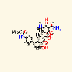 COC(=O)Nc1ccc(-c2ccc(O)c3c2C[C@@H]2C[C@@H]4[C@@H](N(C)C)C(O)=C(C(N)=O)C(=O)[C@]4(O)C(O)=C2C3=O)cc1